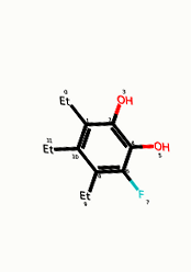 CCc1c(O)c(O)c(F)c(CC)c1CC